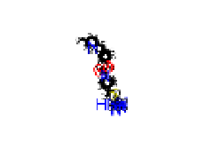 Cc1ccc(Cc2ccc(OC(=O)N3CCC(C(C)Sc4nnn[nH]4)CC3)cc2)nc1